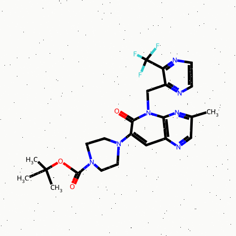 Cc1cnc2cc(N3CCN(C(=O)OC(C)(C)C)CC3)c(=O)n(Cc3nccnc3C(F)(F)F)c2n1